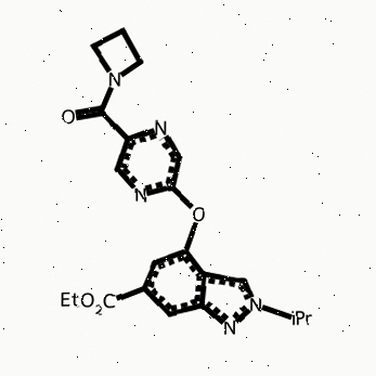 CCOC(=O)c1cc(Oc2cnc(C(=O)N3CCC3)cn2)c2cn(C(C)C)nc2c1